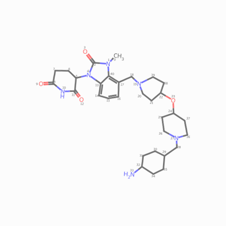 Cn1c(=O)n(C2CCC(=O)NC2=O)c2cccc(CN3CCC(OC4CCN(CC5CCC(N)CC5)CC4)CC3)c21